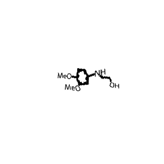 COc1ccc(NCCO)cc1OC